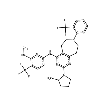 CNc1nc(Nc2nc(N3CCCC3C)nc3c2CCN(c2ncccc2C(F)(F)F)CC3)ccc1C(F)(F)F